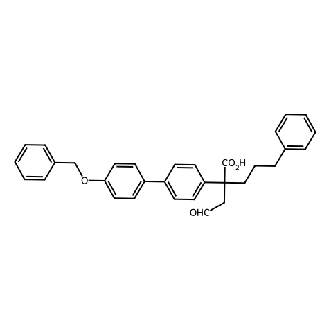 O=CCC(CCCc1ccccc1)(C(=O)O)c1ccc(-c2ccc(OCc3ccccc3)cc2)cc1